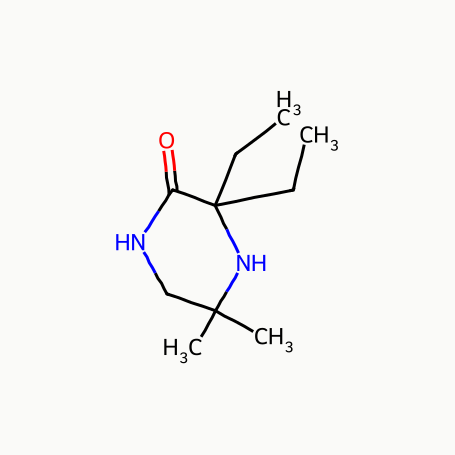 CCC1(CC)NC(C)(C)CNC1=O